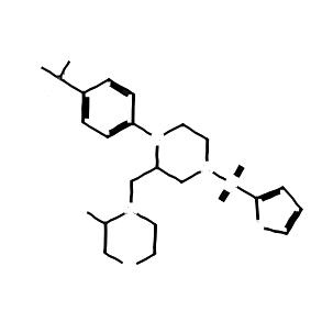 CC1COCCN1CC1CN(S(=O)(=O)c2cccs2)CCN1c1ccc([C@](C)(O)C(F)(F)F)cc1